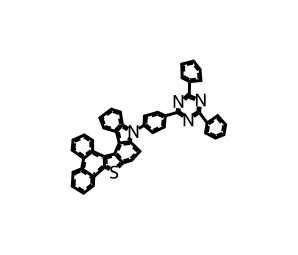 c1ccc(-c2nc(-c3ccccc3)nc(-c3ccc(-n4c5ccccc5c5c6c(ccc54)sc4c5ccccc5c5ccccc5c46)cc3)n2)cc1